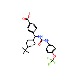 COC(=O)c1ccc(C(NC(=O)Nc2ccc(OC(F)(F)F)cc2)C2CCC(C(C)(C)C)CC2)cc1